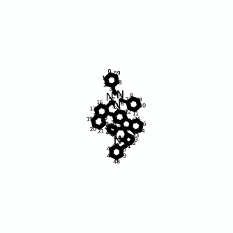 c1ccc(-c2nc(-c3ccccc3)nc(-c3ccc4ccccc4c3-c3ccc4c(c3)C3(c5ccccc5-4)c4ccccc4-n4c5ccccc5c5cccc3c54)n2)cc1